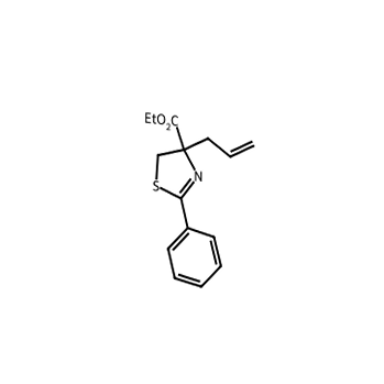 C=CCC1(C(=O)OCC)CSC(c2ccccc2)=N1